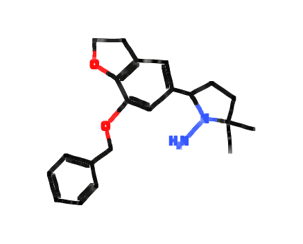 CC1(C)CCC(c2cc3c(c(OCc4ccccc4)c2)OCC3)N1N